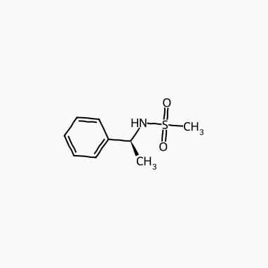 C[C@H](NS(C)(=O)=O)c1ccccc1